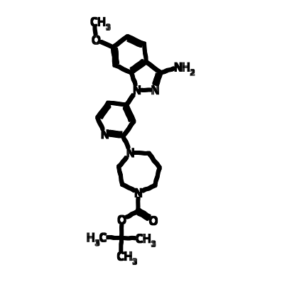 COc1ccc2c(N)nn(-c3ccnc(N4CCCN(C(=O)OC(C)(C)C)CC4)c3)c2c1